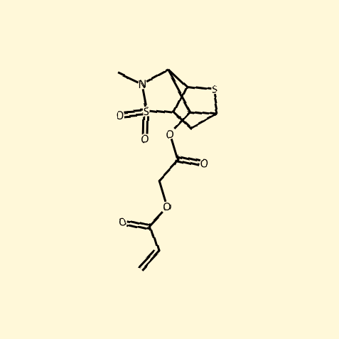 C=CC(=O)OCC(=O)OC1C2CC3C(S2)C1N(C)S3(=O)=O